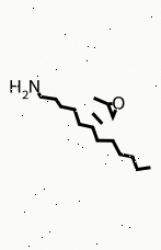 CC.CC1CO1.CCCCCCCCCCCCN